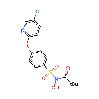 CC(C)(C)C(=O)N(O)S(=O)(=O)c1ccc(Oc2ccc(Cl)cn2)cc1